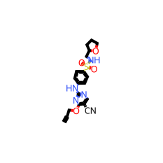 C#CCOc1nc(Nc2ccc(S(=O)(=O)NCC3CCCO3)cc2)ncc1C#N